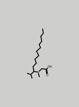 CCCCCCCCCCCC(C(C)C)N(C)CC(=O)O